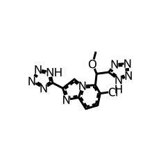 COC(c1nnn[nH]1)c1c(Cl)ccc2nc(-c3nnn[nH]3)cn12